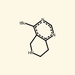 CC(C)(C)c1ncnc2c1CNCC2